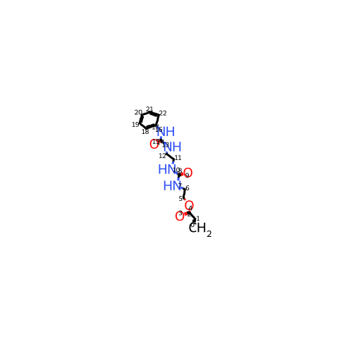 C=CC(=O)OCCNC(=O)NCCNC(=O)Nc1ccccc1